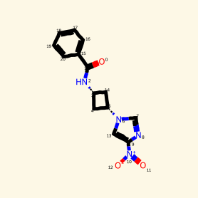 O=C(N[C@H]1C[C@@H](n2cnc([N+](=O)[O-])c2)C1)c1ccccc1